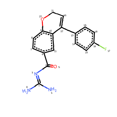 NC(N)=NC(=O)c1ccc2c(c1)C(c1ccc(F)cc1)=CCO2